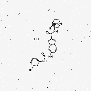 Cl.O=C(Nc1cccc(Br)c1)Nc1ccc2cc(C(=O)N[C@H]3CN4CCC3CC4)sc2c1